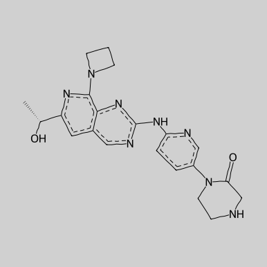 C[C@@H](O)c1cc2cnc(Nc3ccc(N4CCNCC4=O)cn3)nc2c(N2CCC2)n1